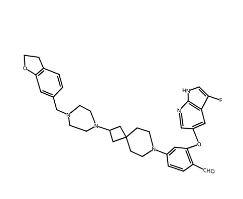 O=Cc1ccc(N2CCC3(CC2)CC(N2CCN(Cc4ccc5c(c4)OCC5)CC2)C3)cc1Oc1cnc2[nH]cc(F)c2c1